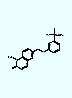 CCC(C)C(C#N)(CC)c1cccc(OCc2ccc3c(ccc(=O)n3C)c2)c1